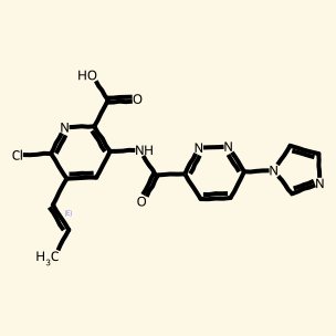 C/C=C/c1cc(NC(=O)c2ccc(-n3ccnc3)nn2)c(C(=O)O)nc1Cl